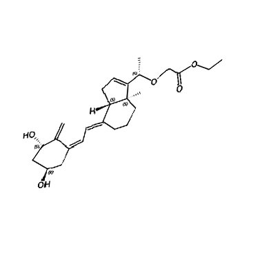 C=C1C(=CC=C2CCC[C@]3(C)C([C@H](C)OCC(=O)OCC)=CC[C@@H]23)C[C@@H](O)C[C@@H]1O